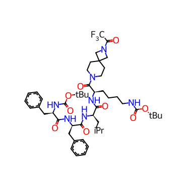 CC(C)C[C@@H](NC(=O)[C@@H](Cc1ccccc1)NC(=O)[C@@H](Cc1ccccc1)NC(=O)OC(C)(C)C)C(=O)N[C@H](CCCCNC(=O)OC(C)(C)C)C(=O)N1CCC2(CC1)CN(C(=O)C(F)(F)F)C2